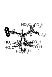 O=C(O)CCOCC(COCCC(=O)O)(COCCC(=O)O)NC(=O)CCOCC(COCCC(=O)NC(COCCC(=O)O)(COCCC(=O)O)COCCC(=O)O)(COCCC(=O)NC(COCCC(=O)O)(COCCC(=O)O)COCCC(=O)O)NC(=O)CCCNC(=O)OCc1c2ccccc2cc2ccccc12